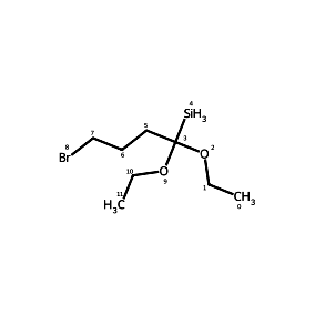 CCOC([SiH3])(CCCBr)OCC